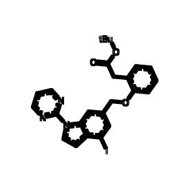 CC(C)(C)OC(=O)Cc1ccccc1OCc1cc(I)c2ccn(-c3ncccn3)c2c1